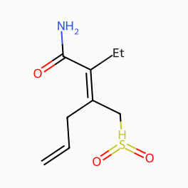 C=CC/C(C[SH](=O)=O)=C(/CC)C(N)=O